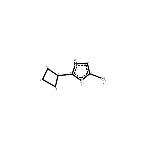 CCc1cnc(C2CCC2)s1